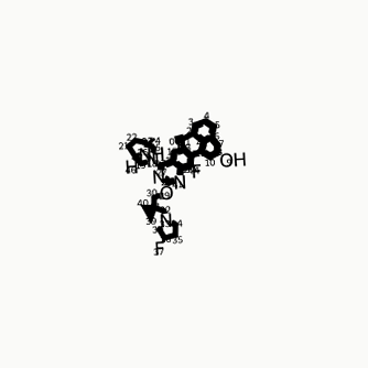 C#Cc1cccc2cc(O)cc(-c3c(F)cc4c(N5C[C@H]6CC[C@](C)(C5)N6)nc(OCC5(CN6CC[C@@H](F)C6)CC5)nc4c3F)c12